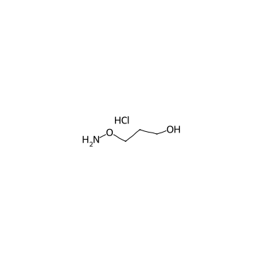 Cl.NOCCCO